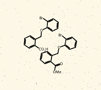 COC(=O)c1ccccc1COc1ccccc1Br.O=C(O)c1ccccc1COc1ccccc1Br